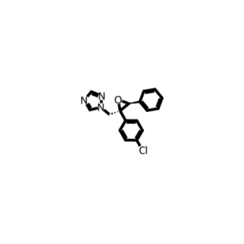 Clc1ccc([C@@]2(Cn3cncn3)O[C@H]2c2ccccc2)cc1